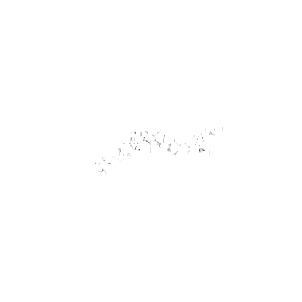 Cc1c(C=C(F)c2nc3c(n2C)CCN(C(C)C)C3)cccc1-c1cccc(NC(=O)c2nc3c(n2C)CCN(CCC24CCC(C(=O)O)(CC2)C4)C3)c1C